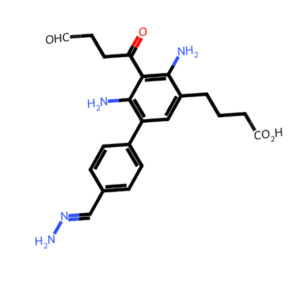 NN=Cc1ccc(-c2cc(CCCC(=O)O)c(N)c(C(=O)CCC=O)c2N)cc1